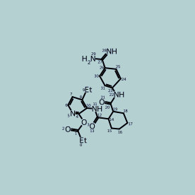 CCC(=O)Oc1nccc(CC)c1NC(=O)C1CCCCC1C(=O)Nc1ccc(C(=N)N)cc1